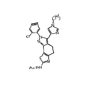 CC(=O)Nc1nc2c(s1)-c1nn(-c3ccccc3Cl)c(-c3cn(C)cn3)c1CC2